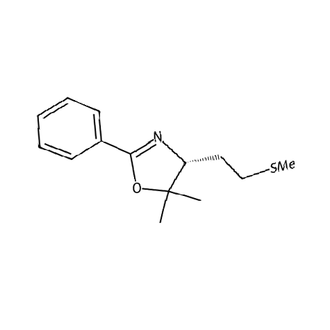 CSCC[C@H]1N=C(c2ccccc2)OC1(C)C